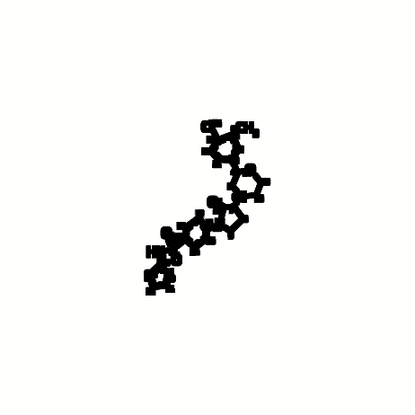 Cc1cc([C@@H]2CN([C@H]3CCN(c4ccc(S(=O)(=O)Nc5nccs5)cc4)C3=O)CCO2)ccc1Cl